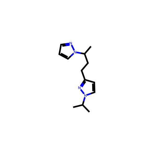 CC(C)n1ccc(CCC(C)n2cccn2)n1